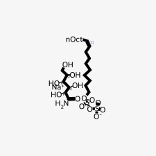 CCCCCCCC/C=C\CCCCCCCCOS(=O)(=O)OS(=O)(=O)[O-].NC(=O)[C@H](O)[C@@H](O)[C@H](O)[C@H](O)CO.[Na+]